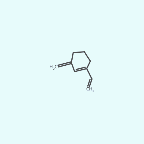 C=CC1=CC(=C)CCC1